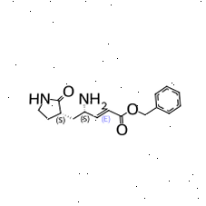 N[C@H](/C=C/C(=O)OCc1ccccc1)C[C@@H]1CCNC1=O